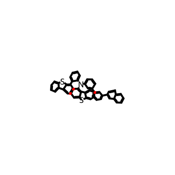 c1cc(-c2cccc(N(c3ccccc3-c3cccc4c3sc3ccccc34)c3cccc4sc5ccccc5c34)c2)cc(-c2ccc3ccccc3c2)c1